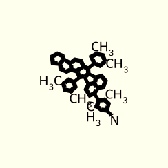 Cc1cc(C)cc(-c2c3c(c(-c4cc(C)cc(C)c4)c4c2ccc2c5ccccc5ccc24)-c2ccc(-c4c(C)cc(C#N)cc4C)c4cccc-3c24)c1